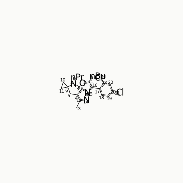 CCCCc1oc2c(CC3(N(C)CCC)CC3)c(C)nn2c1-c1ccc(Cl)cc1Cl